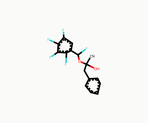 N#CC(O)(Cc1ccccc1)OC(F)c1cc(F)c(F)c(F)c1F